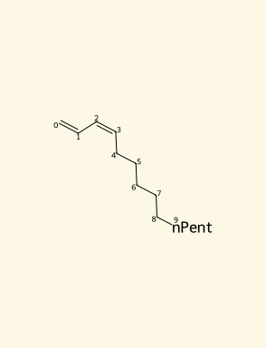 C=C/C=C\CCCCCCC[CH]CC